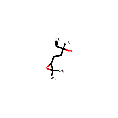 C=C[C@](C)(O)CCC1OC1(C)C